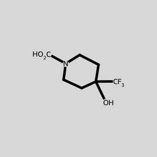 O=C(O)N1CCC(O)(C(F)(F)F)CC1